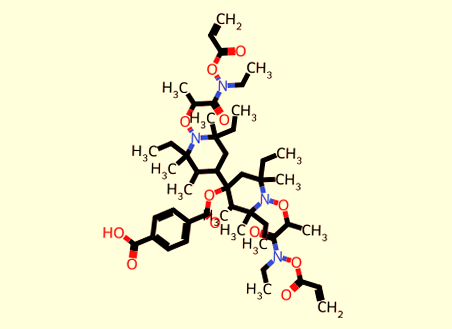 C=CC(=O)ON(CC)C(=O)C(C)ON1C(C)(CC)CC(C2(OC(=O)c3ccc(C(=O)O)cc3)CC(C)(CC)N(OC(C)C(=O)N(CC)OC(=O)C=C)C(C)(CC)C2C)C(C)C1(C)CC